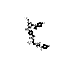 CC(CNC(=O)C(=O)Nc1ccc(F)cc1)CNC(=O)c1ccc(Nc2nc(NC3(c4ccc(Cl)cc4)CC3)nc(OCC(F)(F)F)n2)cc1